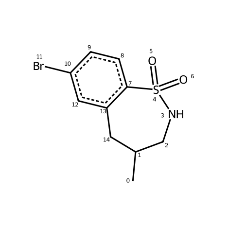 CC1CNS(=O)(=O)c2ccc(Br)cc2C1